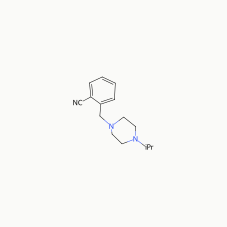 CC(C)N1CCN(Cc2ccccc2C#N)CC1